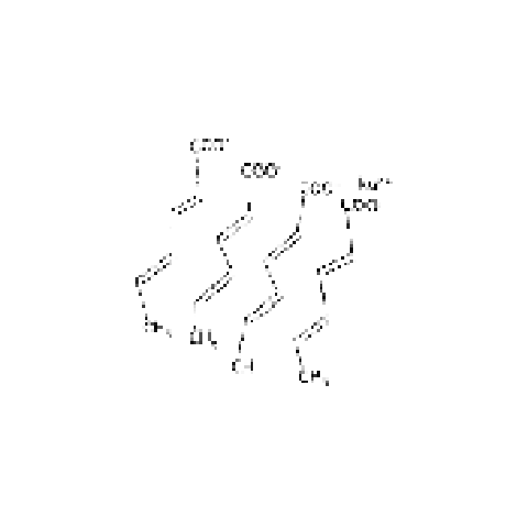 CC=CC=CC(=O)[O-].CC=CC=CC(=O)[O-].CC=CC=CC(=O)[O-].CC=CC=CC(=O)[O-].[Ru+4]